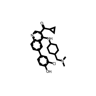 CN(C)CC1CCC(Nc2c(C(=O)C3CC3)cnc3ccc(-c4ccc(O)c(Cl)c4)cc23)CC1